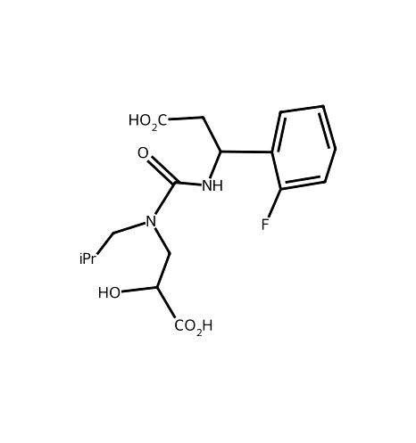 CC(C)CN(CC(O)C(=O)O)C(=O)NC(CC(=O)O)c1ccccc1F